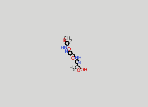 COc1cccc(Nc2nc3ccc(CC(=O)Nc4ccc(C(C)CC(=O)O)nc4)cc3o2)c1